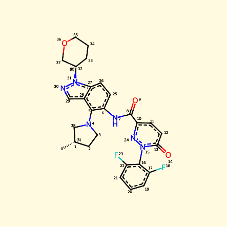 C[C@H]1CCN(c2c(NC(=O)c3ccc(=O)n(-c4c(F)cccc4F)n3)ccc3c2cnn3[C@@H]2CCCOC2)C1